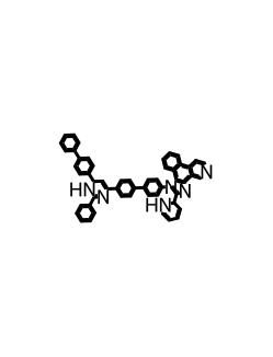 C1=CNC(c2nc3c4cnccc4c4ccccc4c3n2-c2ccc(-c3ccc(C4=CC(c5ccc(-c6ccccc6)cc5)NC(c5ccccc5)=N4)cc3)cc2)C=C1